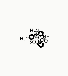 Cc1ccc(S(=O)(=O)c2cc(NC(=O)Oc3ccccc3)ccc2N)cc1S(=O)(=O)O